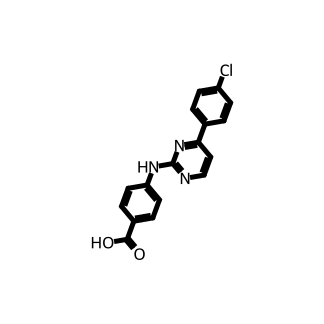 O=C(O)c1ccc(Nc2nccc(-c3ccc(Cl)cc3)n2)cc1